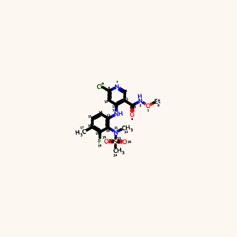 CCONC(=O)c1cnc(Cl)cc1Nc1ccc(C)c(F)c1N(C)S(C)(=O)=O